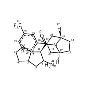 NC1CC2CCCC2[C@H]1C(=O)N1[C@H]2CC[C@H]1CN(c1cc(C(F)(F)F)ccn1)C2